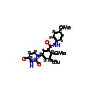 COc1ccc(NC(=O)c2cc(-n3ccc(=O)[nH]c3=O)cc(C(C)(C)C)c2OC)cc1